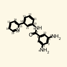 Nc1cc(N)cc(C(=O)Nc2cccc(-c3ccccn3)c2)c1